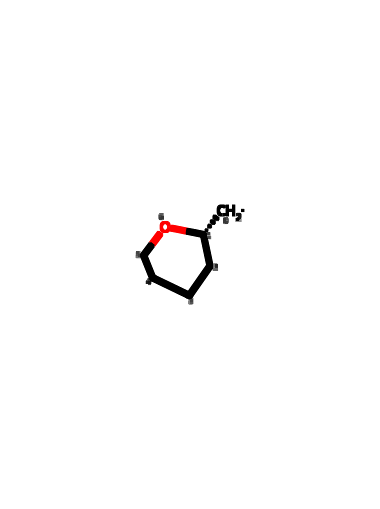 [CH2][C@@H]1CCCCO1